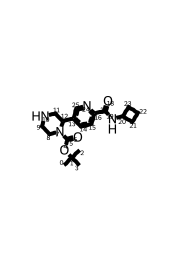 CC(C)(C)OC(=O)N1CCNCC1c1ccc(C(=O)NC2CCC2)nc1